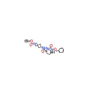 CC(C)(C)OC(=O)N1CC2(CC(NC(=O)[C@@H]3CC[C@@H]4CN3C(=O)N4OCc3ccccc3)C2)C1